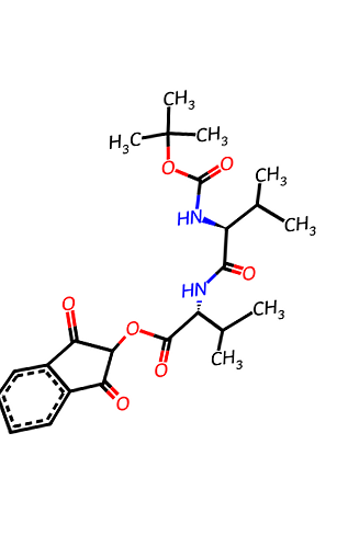 CC(C)[C@H](NC(=O)OC(C)(C)C)C(=O)N[C@@H](C(=O)OC1C(=O)c2ccccc2C1=O)C(C)C